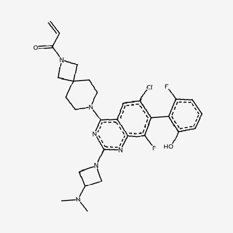 C=CC(=O)N1CC2(CCN(c3nc(N4CC(N(C)C)C4)nc4c(F)c(-c5c(O)cccc5F)c(Cl)cc34)CC2)C1